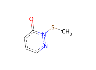 CSn1ncccc1=O